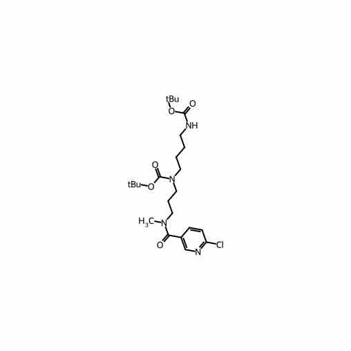 CN(CCCN(CCCCNC(=O)OC(C)(C)C)C(=O)OC(C)(C)C)C(=O)c1ccc(Cl)nc1